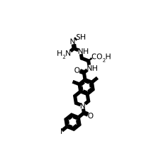 Cc1cc2c(c(C)c1C(=O)N[C@@H](CN/C(N)=N\S)C(=O)O)CCN(C(=O)c1ccc(I)cc1)C2